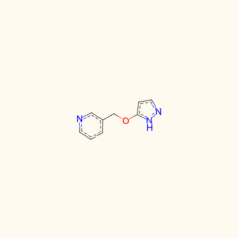 c1cncc(COc2ccn[nH]2)c1